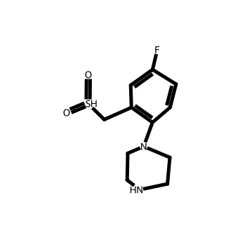 O=[SH](=O)Cc1cc(F)ccc1N1CCNCC1